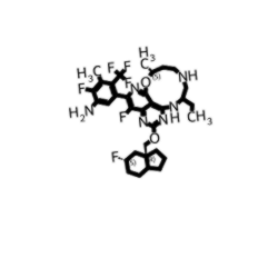 CCC1CNCC[C@H](C)Oc2nc(-c3cc(N)c(F)c(C)c3C(F)(F)F)c(F)c3nc(OC[C@@]45CCCC4CC[C@H](F)C5)nc(c23)N1